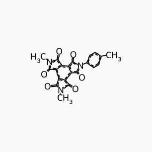 Cc1ccc(-n2c(=O)c3c4c(=O)n(C)c(=O)c4c4c(=O)n(C)c(=O)c4c3c2=O)cc1